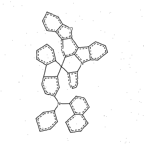 c1ccc(N(c2ccc3c(c2)C2(c4ccccc4-3)c3ccccc3-n3c4ccccc4c4c5oc6ccccc6c5cc2c43)c2cccc3ccccc23)cc1